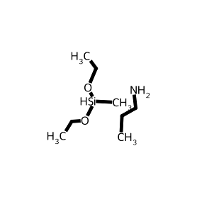 CCCN.CCO[SiH](C)OCC